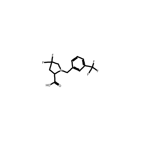 O=C(O)C1CC(F)(F)CN1Cc1cccc(C(F)(F)F)c1